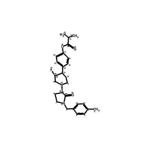 Cc1ccc(CN2CC[C@@H](N3CCC(c4ccc(OC(=O)C(C)N)cc4)[C@H](F)C3)C2=O)cc1